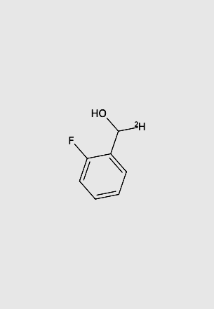 [2H]C(O)c1ccccc1F